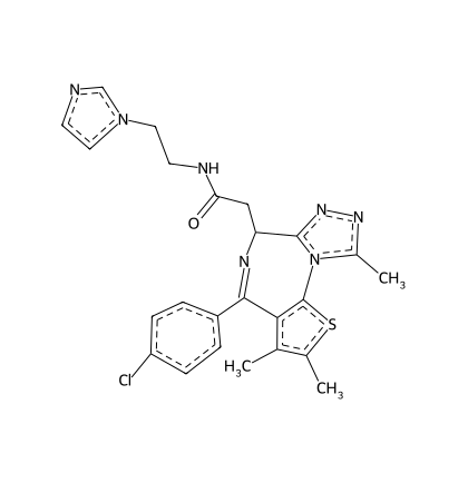 Cc1sc2c(c1C)C(c1ccc(Cl)cc1)=NC(CC(=O)NCCn1ccnc1)c1nnc(C)n1-2